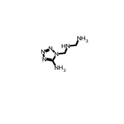 NCNCn1nnnc1N